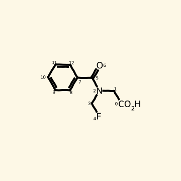 O=C(O)CN(CF)C(=O)c1ccccc1